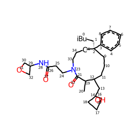 CCC(C)C[C@]1(c2ccccc2)CCCC(CC2(O)CCC2)C(C)C(=O)N(CCC(=O)NC2COC2)CCC1